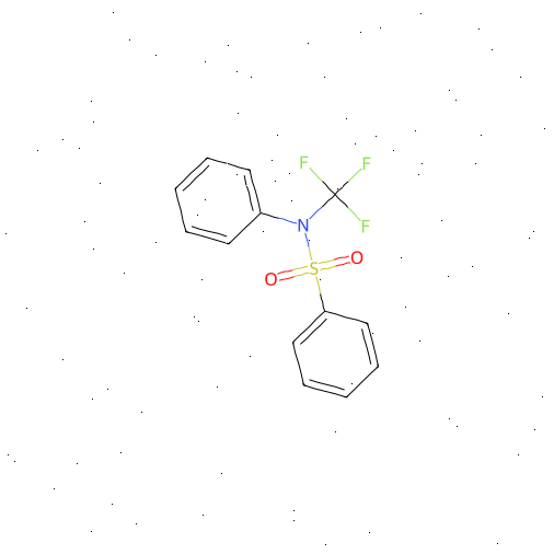 O=S(=O)(c1ccccc1)N(c1ccccc1)C(F)(F)F